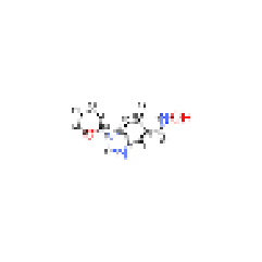 CC(=NO)c1cc2ncn(C3CCCCO3)c2cc1C